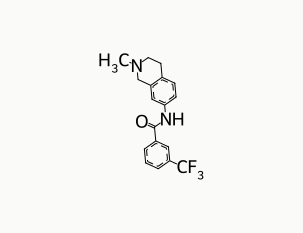 CN1CCc2ccc(NC(=O)c3cccc(C(F)(F)F)c3)cc2C1